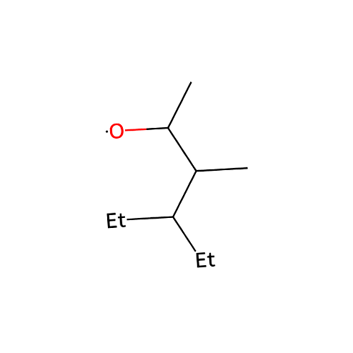 CCC(CC)C(C)C(C)[O]